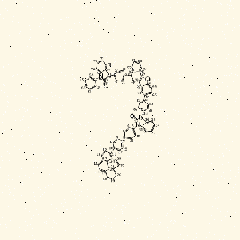 O=c1n(-c2ccc(-c3ccc(-c4ccc5ccc6cccc7ccc4c5c67)cc3)cc2)c2ccccc2n1-c1ccc(-c2ccc3oc4c5ccccc5c(-c5ccc(-n6c(=O)n(-c7ccccc7)c7ccccc76)cc5)cc4c3c2)cc1